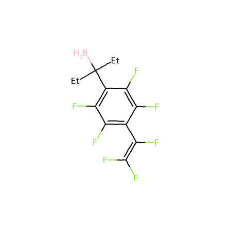 BC(CC)(CC)c1c(F)c(F)c(C(F)=C(F)F)c(F)c1F